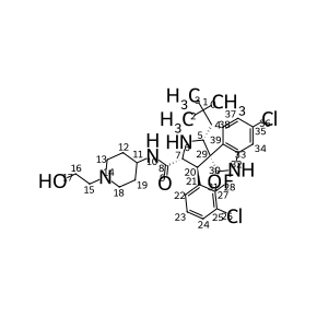 CC(C)(C)C[C@H]1N[C@@H](C(=O)NC2CCN(CCO)CC2)[C@H](c2cccc(Cl)c2F)[C@@]12C(=O)Nc1cc(Cl)ccc12